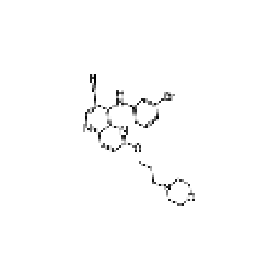 N#Cc1cnc2ccc(OCCCN3CCOCC3)nc2c1Nc1cccc(Br)c1